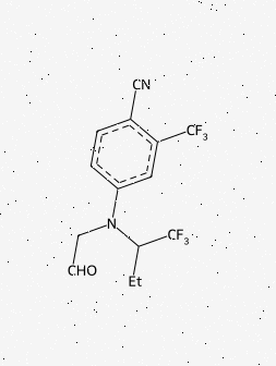 CCC(N(CC=O)c1ccc(C#N)c(C(F)(F)F)c1)C(F)(F)F